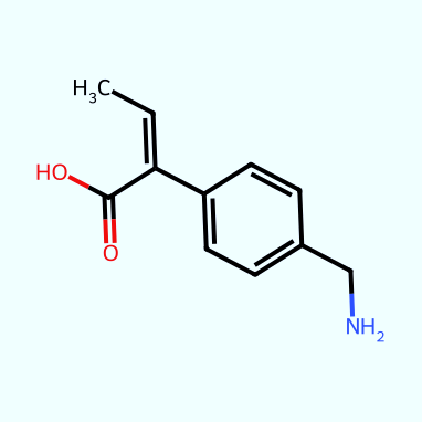 CC=C(C(=O)O)c1ccc(CN)cc1